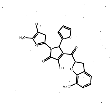 COc1cccc2c1OC(C(=O)C1=C(O)C(=O)N(C3=NC(C)=C(C)C3)C1c1ccco1)C2